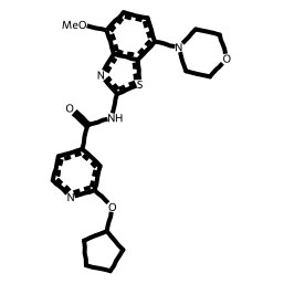 COc1ccc(N2CCOCC2)c2sc(NC(=O)c3ccnc(OC4CCCC4)c3)nc12